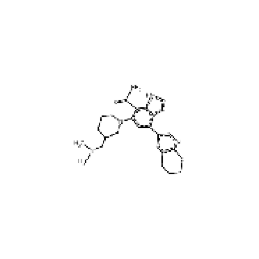 CN(C)CC1CCCN(c2cc(-c3cnc4c(c3)CCCO4)c3nc[nH]c3c2C(N)=O)C1